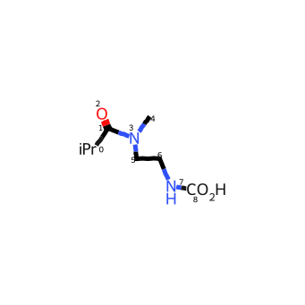 CC(C)C(=O)N(C)CCNC(=O)O